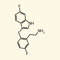 NCCc1cc(F)ccc1Sc1c[nH]c2cc(F)ccc12